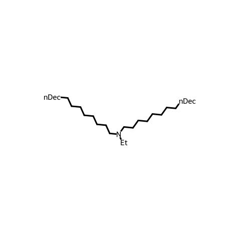 CCCCCCCCCCCCCCCCCCN(CC)CCCCCCCCCCCCCCCCCC